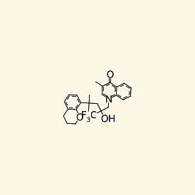 Cc1cn(CC(O)(CC(C)(C)c2cccc3c2OCCC3)C(F)(F)F)c2ccccc2c1=O